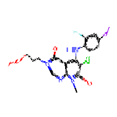 Cn1c(=O)c(Cl)c(Nc2ccc(I)cc2F)c2c(=O)n(CCCO)cnc21